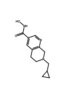 O=C(NO)c1cnc2c(c1)CCN(CC1CC1)C2